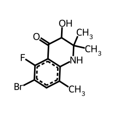 Cc1cc(Br)c(F)c2c1NC(C)(C)C(O)C2=O